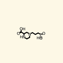 O=C(O)C1CN(CCC[PH](=O)O)CCN1